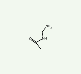 CC(=O)NCN